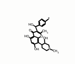 Cc1oc2c(C3CCN(C)CC3O)c(O)cc(O)c2c(=O)c1C(O)c1ccc(F)cc1